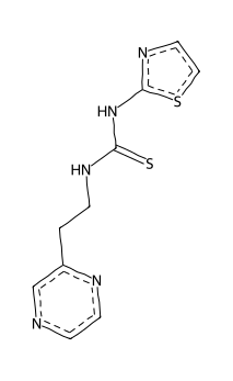 S=C(NCCc1cnccn1)Nc1nccs1